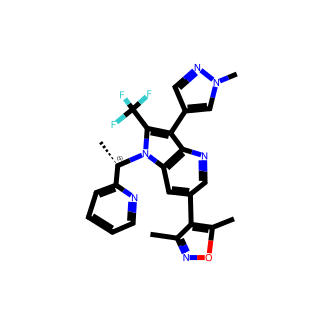 Cc1noc(C)c1-c1cnc2c(-c3cnn(C)c3)c(C(F)(F)F)n([C@@H](C)c3ccccn3)c2c1